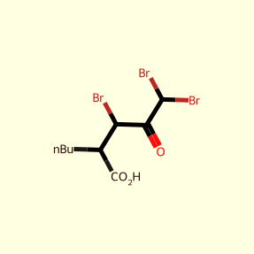 CCCCC(C(=O)O)C(Br)C(=O)C(Br)Br